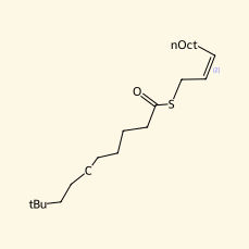 CCCCCCCC/C=C\CSC(=O)CCCCCCCC(C)(C)C